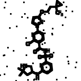 CC1(C)CC(Nc2cccc(S(=O)(=O)NC(=O)c3ccc(-n4ccc(OCCC5(C(F)(F)F)CC5)n4)nc3Cl)n2)CN1